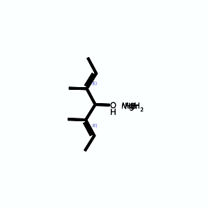 Br.C/C=C(\C)C(O)/C(C)=C/C.[MgH2]